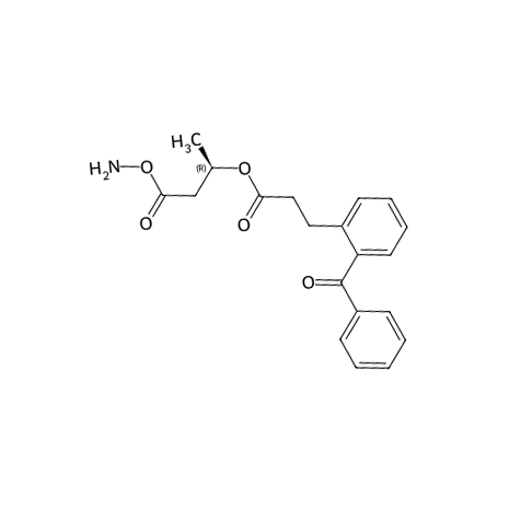 C[C@H](CC(=O)ON)OC(=O)CCc1ccccc1C(=O)c1ccccc1